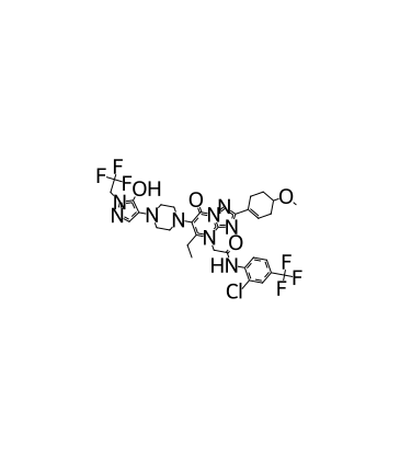 CCc1c(N2CCN(c3cnn(CC(F)(F)F)c3O)CC2)c(=O)n2nc(C3=CCC(OC)CC3)nc2n1CC(=O)Nc1ccc(C(F)(F)F)cc1Cl